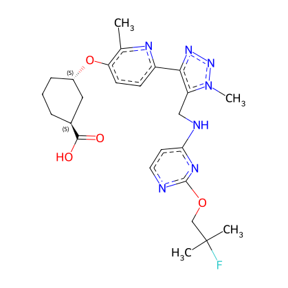 Cc1nc(-c2nnn(C)c2CNc2ccnc(OCC(C)(C)F)n2)ccc1O[C@H]1CCC[C@H](C(=O)O)C1